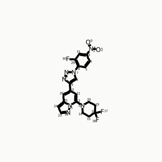 O=[N+]([O-])c1ccc(-n2cc(-c3cc(N4CCC(F)(F)CC4)n4nccc4c3)nn2)c(F)c1